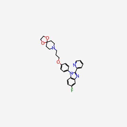 Fc1ccc2c(c1)nc(-c1ccccn1)n2-c1ccc(OCCCN2CCC3(CC2)OCCO3)cc1